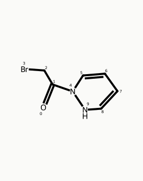 O=C(CBr)N1C=CC=CN1